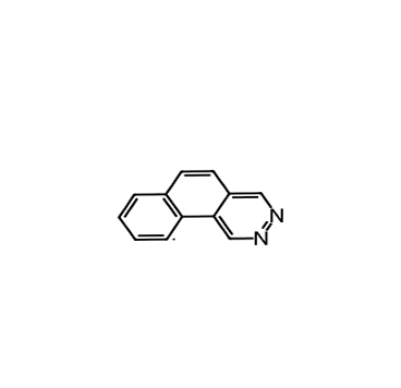 [c]1cccc2ccc3cnncc3c12